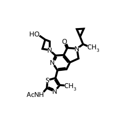 CC(=O)Nc1nc(C)c(-c2cc3c(c(N4CC(O)C4)n2)C(=O)N(C(C)C2CC2)C3)s1